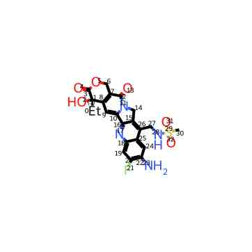 CC[C@@]1(O)C(=O)OCc2c1cc1n(c2=O)Cc2c-1nc1cc(F)c(N)cc1c2CNS(C)(=O)=O